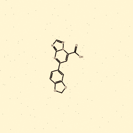 O=C(O)c1cc(-c2ccc3c(c2)OCO3)nc2ncnn12